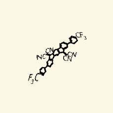 N#CC(C#N)=C1c2cc(-c3ccc(C(F)(F)F)cc3)ccc2-c2cc3c(cc21)-c1ccc(-c2ccc(C(F)(F)F)cc2)cc1C3=C(C#N)C#N